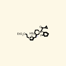 CCOC(=O)CCn1ccc(/C=C2/CN([C@@H](C(=O)C3CC3)c3ccccc3F)CC[C@H]2S)n1